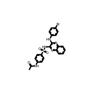 CC(=O)Nc1ccc(S(=O)(=O)Nc2nc3ccccc3nc2Nc2ccc(Br)cc2)cc1